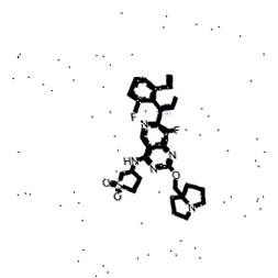 C=Cc1cccc(F)c1/C(=C\C)c1ncc2c(NC3CCS(=O)(=O)C3)nc(OCC34CCCN3CCC4)nc2c1F